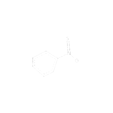 [O-][N+](=S)c1[c]cccc1